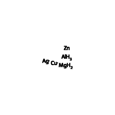 [Ag].[AlH3].[Cu].[MgH2].[Zn]